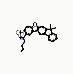 CCCC/C(=N/O)c1ccc2oc3cc4c(cc3c2c1)-c1ccccc1C4(C)C